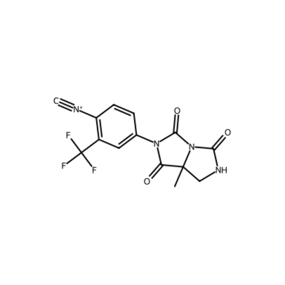 [C-]#[N+]c1ccc(N2C(=O)N3C(=O)NCC3(C)C2=O)cc1C(F)(F)F